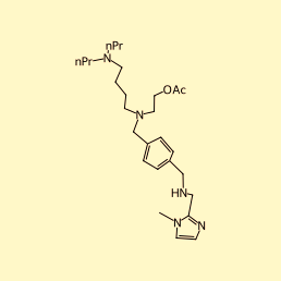 CCCN(CCC)CCCCN(CCOC(C)=O)Cc1ccc(CNCc2nccn2C)cc1